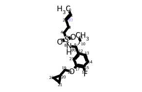 C/C=C/CCS(=O)(=O)N[C@H](CC)c1ccc(F)c(OCC2CC2)c1